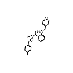 C=C(NOCc1ccc(C)cc1)c1ccccc1NCc1ccncc1